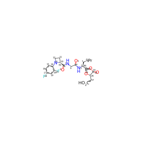 CC(C)C[C@H](NC(=O)CNC(=O)[C@@H]1CCN1c1ccc(F)cc1F)B1OC(=O)C(CC(=O)O)O1